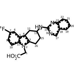 O=C(O)Cn1c2c(c3cc(F)ccc31)CC(Nc1ncc3ccccc3n1)CC2